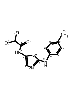 CCC(CC)C(=O)Nc1cnc(Nc2ccc(C)cc2)s1